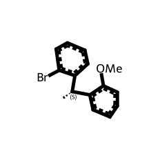 COc1ccccc1[C@H](C)c1ccccc1Br